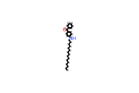 CCCCCCCCCCCCCCCCNc1ccc(C(=O)c2ccccc2)cc1